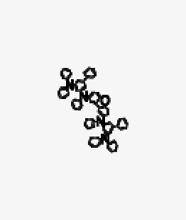 c1ccc(-c2cc(N(c3ccccc3)c3ccccc3)cc(N(c3ccccc3)c3ccc4oc5ccc(N(c6ccccc6)c6cc(-c7ccccc7)cc(N(c7ccccc7)c7ccccc7)c6)cc5c4c3)c2)cc1